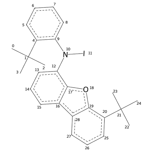 CC(C)(C)c1ccccc1N(I)c1cccc2c1oc1c(C(C)(C)C)cccc12